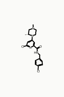 C[C@@H]1CN(C)CCN1c1cc(Cl)nc(C(=O)NCc2ccc(Cl)cc2)c1